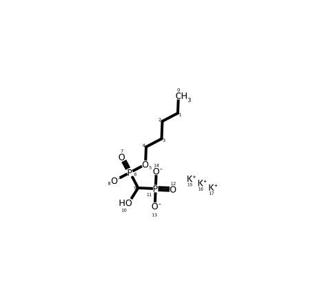 CCCCCOP(=O)([O-])C(O)P(=O)([O-])[O-].[K+].[K+].[K+]